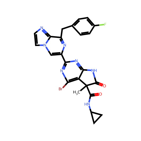 CC1(C(=O)NC2CC2)C(=O)Nc2nc(-c3cn4ccnc4c(Cc4ccc(F)cc4)n3)nc(Br)c21